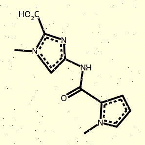 Cn1cccc1C(=O)Nc1cn(C)c(C(=O)O)n1